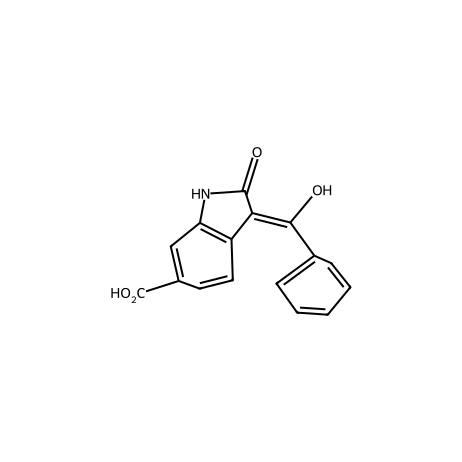 O=C1Nc2cc(C(=O)O)ccc2C1=C(O)c1ccccc1